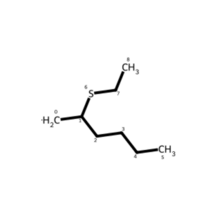 [CH2]C(CCCC)SCC